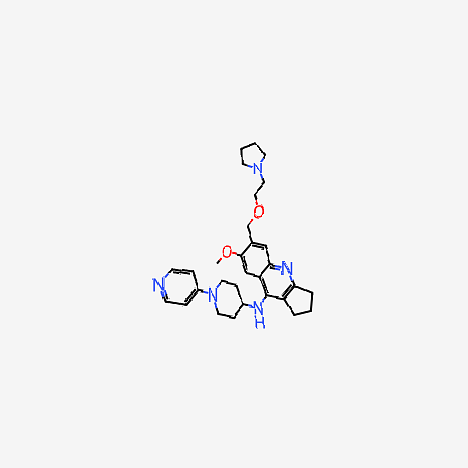 COc1cc2c(NC3CCN(c4ccncc4)CC3)c3c(nc2cc1COCCN1CCCC1)CCC3